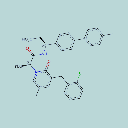 CCCC[C@@H](C(=O)N[C@@H](CC(=O)O)c1ccc(-c2ccc(C)cc2)cc1)n1cc(C)cc(Cc2ccccc2Cl)c1=O